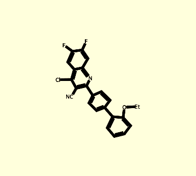 CCOc1ccccc1-c1ccc(-c2nc3cc(F)c(F)cc3c(Cl)c2C#N)cc1